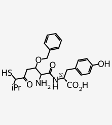 CC(C)C(S)C(=O)CC(OCc1ccccc1)C(N)C(=O)N[C@@H](Cc1ccc(O)cc1)C(=O)O